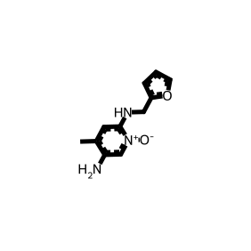 Cc1cc(NCc2ccco2)[n+]([O-])cc1N